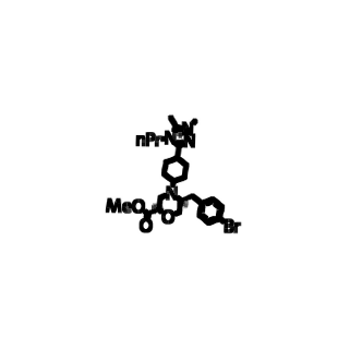 CCC[n+]1c(C2CCC(N3C[C@H](C(=O)OC)OC[C@@H]3Cc3ccc(Br)cc3)CC2)nn(C)c1C